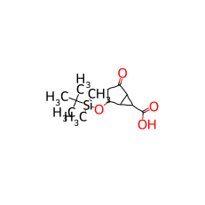 CC(C)(C)[Si](C)(C)OC1CC(=O)C2C(C(=O)O)C12